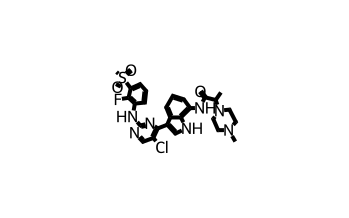 CC(C(=O)Nc1cccc2c(-c3nc(Nc4cccc(S(C)(=O)=O)c4F)ncc3Cl)c[nH]c12)N1CCN(C)CC1